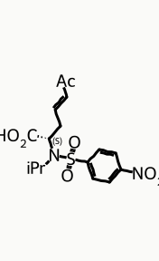 CC(=O)C=CC[C@@H](C(=O)O)N(C(C)C)S(=O)(=O)c1ccc([N+](=O)[O-])cc1